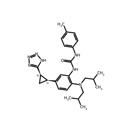 Cc1ccc(NC(=O)Nc2cc([C@H]3C[C@H]3c3nnn[nH]3)ccc2N(CC(C)C)CC(C)C)cc1